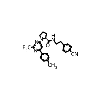 Cc1ccc(-c2cc(N3CCC[C@H]3C(=O)NCCc3ccc(C#N)cc3)nc(C(F)(F)F)n2)cc1